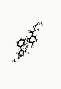 CONC(=O)c1cnc(Cl)cc1Nc1cccc(-c2cnn(C)c2)c1OC